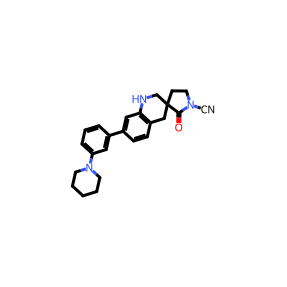 N#CN1CCC2(CNc3cc(-c4cccc(N5CCCCC5)c4)ccc3C2)C1=O